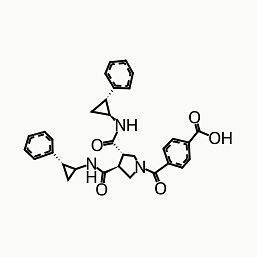 O=C(O)c1ccc(C(=O)N2C[C@@H](C(=O)NC3C[C@@H]3c3ccccc3)[C@H](C(=O)N[C@H]3C[C@@H]3c3ccccc3)C2)cc1